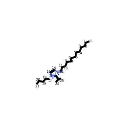 CCCCCCCCCCCCC[n+]1ccn(CCCCC)c1C(C)C